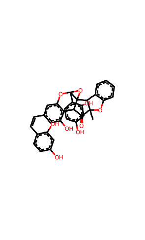 CC12Oc3ccccc3C1C13OC1(c1ccc(O)cc1O)Oc1cc(/C=C\c4ccc(O)cc4O)cc(O)c1C3C2=O